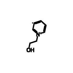 OCC[n+]1c[c]ccc1